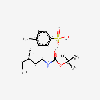 CCC(C)CCNC(=O)OC(C)(C)C.Cc1ccc(S(=O)(=O)O)cc1